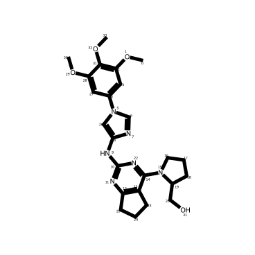 COc1cc(-n2cnc(Nc3nc4c(c(N5CCCC5CO)n3)CCC4)c2)cc(OC)c1OC